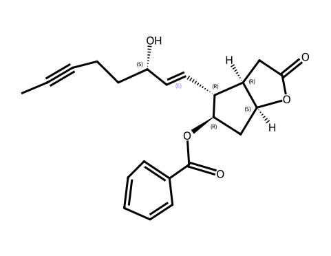 CC#CCC[C@H](O)/C=C/[C@@H]1[C@H]2CC(=O)O[C@H]2C[C@H]1OC(=O)c1ccccc1